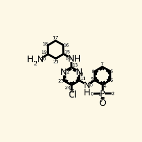 CP(C)(=O)c1ccccc1Nc1nc(NC2CCCC(N)C2)ncc1Cl